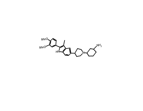 COc1ccc(-c2[nH]c3ccc(C4CCN(C5CCCC(N)C5)CC4)cc3c2C)cc1OC